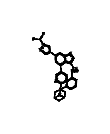 CSc1cccc(CN2C3CC2CN(c2ccc(-c4cc(-c5cnn(C(F)F)c5)cn5ncc(C#N)c45)cn2)C3)c1